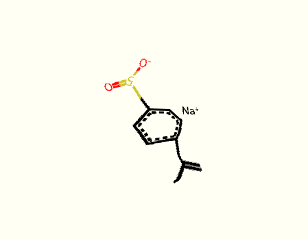 C=C(C)c1ccc(S(=O)[O-])cc1.[Na+]